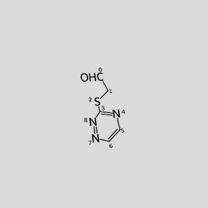 O=CCSc1nccnn1